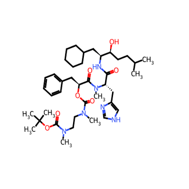 CC(C)CC[C@H](O)[C@H](CC1CCCCC1)NC(=O)[C@H](Cc1c[nH]cn1)N(C)C(=O)[C@H](Cc1ccccc1)OC(=O)N(C)CCN(C)C(=O)OC(C)(C)C